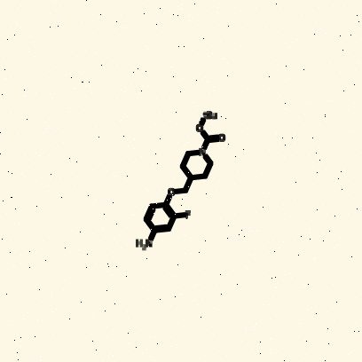 CC(C)(C)OC(=O)N1CCC(COc2ccc(N)cc2F)CC1